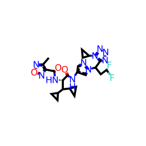 Cc1nonc1C(=O)N[C@H](C(=O)Nc1cnn(C(CC(F)F)c2nnnn2C2CC2)c1)C(C1CC1)C1CC1